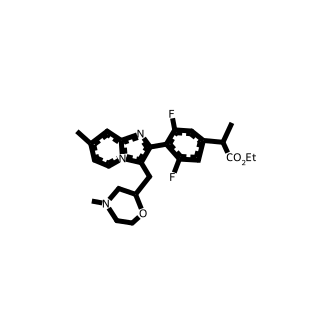 CCOC(=O)C(C)c1cc(F)c(-c2nc3cc(C)ccn3c2CC2CN(C)CCO2)c(F)c1